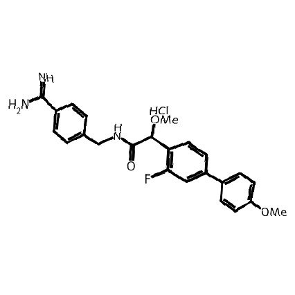 COc1ccc(-c2ccc(C(OC)C(=O)NCc3ccc(C(=N)N)cc3)c(F)c2)cc1.Cl